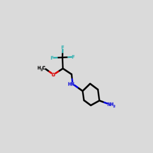 COC(CNC1CCC(N)CC1)C(F)(F)F